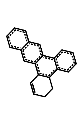 C1=Cc2c(c3ccccc3c3cc4ccccc4cc23)CC1